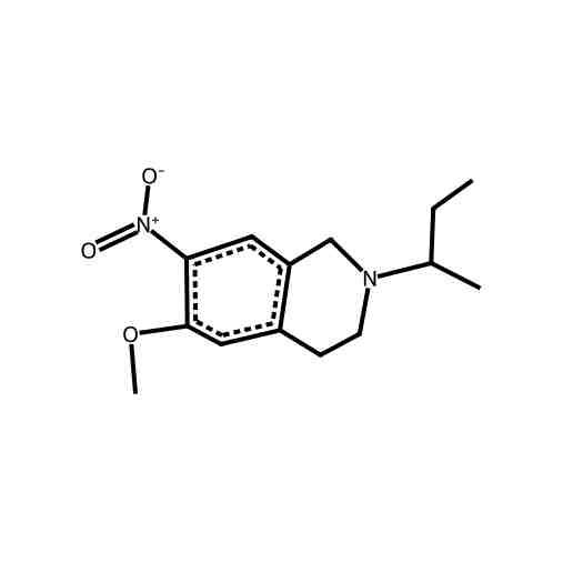 CCC(C)N1CCc2cc(OC)c([N+](=O)[O-])cc2C1